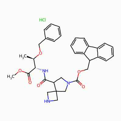 COC(=O)[C@@H](NC(=O)C1CN(C(=O)OCC2c3ccccc3-c3ccccc32)CC12CNC2)[C@@H](C)OCc1ccccc1.Cl